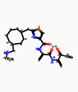 C=C(NC(=O)c1csc(CC2CCCCC(CNC(=O)OCC)CC2)n1)C(=O)NC(=C)C(=O)OC